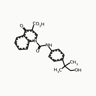 CC(C)(CO)c1ccc(NC(=O)n2cc(C(=O)O)c(=O)c3ccccc32)cc1